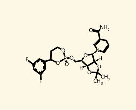 CC1(C)O[C@@H]2[C@H](O1)C(COP1(=O)OCCC(c3cc(F)cc(F)c3)O1)O[C@H]2N1C=CCC(C(N)=O)=C1